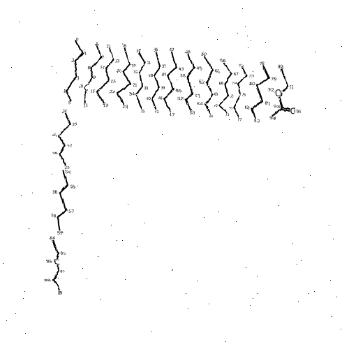 CCCCCC.CCCCCC.CCCCCC.CCCCCC.CCCCCC.CCCCCC.CCCCCC.CCCCCC.CCCCCC.CCCCCC.CCCCCC.CCCCCC.CCCCCC.CCCCCC.CCCCCC.CCOC(C)=O